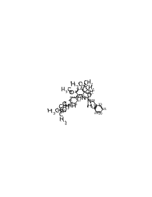 COc1cc(C(C)(C)C)c(O)c(NC(=O)NCc2ccccc2)c1C1CCC(NC(=O)OC(C)(C)C)CC1